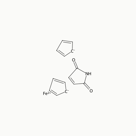 O=C1C=CC(=O)N1.[Fe+2].c1cc[cH-]c1.c1cc[cH-]c1